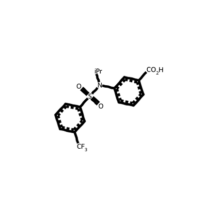 CC(C)N(c1cccc(C(=O)O)c1)S(=O)(=O)c1cccc(C(F)(F)F)c1